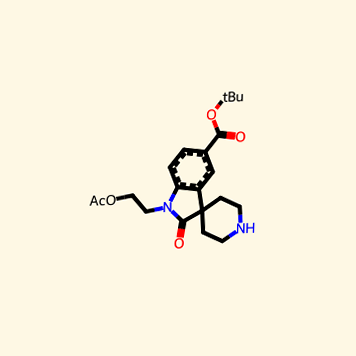 CC(=O)OCCN1C(=O)C2(CCNCC2)c2cc(C(=O)OC(C)(C)C)ccc21